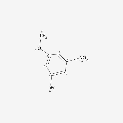 [CH2]C(C)c1cc(OC(F)(F)F)cc([N+](=O)[O-])c1